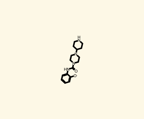 [O]c1ccccc1NC(=O)N1CCN(C2CCNCC2)CC1